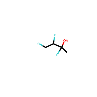 CC(O)(F)C(F)CF